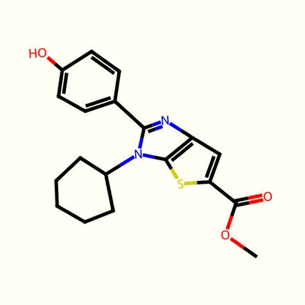 COC(=O)c1cc2nc(-c3ccc(O)cc3)n(C3CCCCC3)c2s1